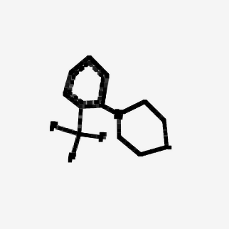 FC(F)(F)c1ccccc1N1CC[CH]CC1